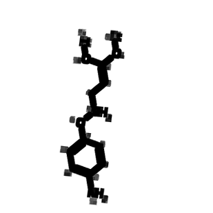 CCOC(=CC[SiH2]Oc1ccc(N)cc1)OCC